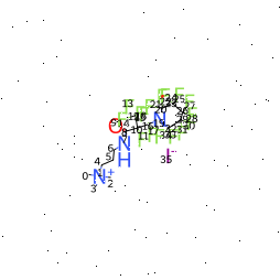 C[N+](C)(C)CCCNC(=O)C(F)(C(F)(F)F)C(F)(F)N1C(F)(F)C(F)(F)C(F)(F)C(F)(F)C1(F)F.[I-]